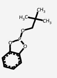 CC(C)(C)COP1Oc2ccccc2O1